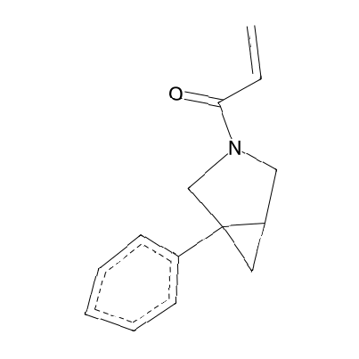 C=CC(=O)N1CC2CC2(c2ccccc2)C1